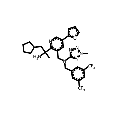 Cn1nnc(N(Cc2cc(C(F)(F)F)cc(C(F)(F)F)c2)Cc2cc(-c3ccco3)cnc2C(C)(N)CC2CCCC2)n1